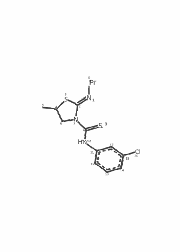 CC(C)N=C1SC(C)CN1C(=S)Nc1cccc(Cl)c1